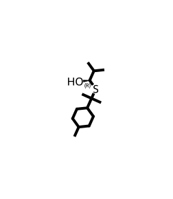 CC1CCC(C(C)(C)S[C@@H](O)C(C)C)CC1